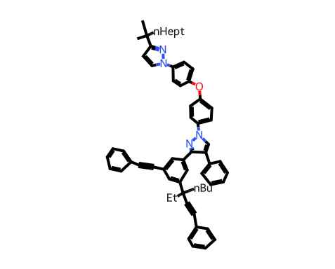 CCCCCCCC(C)(C)c1ccn(-c2ccc(Oc3ccc(-n4cc(-c5ccccc5)c(-c5cc(C#Cc6ccccc6)cc(C(C#Cc6ccccc6)(CC)CCCC)c5)n4)cc3)cc2)n1